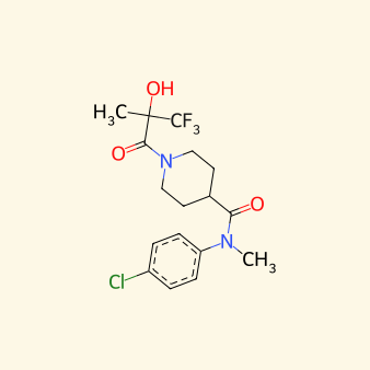 CN(C(=O)C1CCN(C(=O)C(C)(O)C(F)(F)F)CC1)c1ccc(Cl)cc1